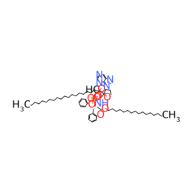 C#CC1(COP(=O)(N[C@@H](Cc2ccccc2)C(=O)OCCCCCCCCCCCCCCCC)Oc2ccccc2)OCCC1(OC(=O)CCCCCCCCCCCCCCCCCCC)n1cnc2cncnc21